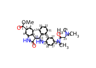 COC(=O)c1ccc2c(c1)NC(=O)/C2=C(\Nc1ccc(N(C)C(=O)CN(C)C)cc1)c1ccccc1